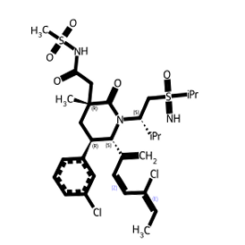 C=C(/C=C\C(Cl)=C/C)[C@@H]1[C@@H](c2cccc(Cl)c2)C[C@](C)(CC(=O)NS(C)(=O)=O)C(=O)N1[C@H](CS(=N)(=O)C(C)C)C(C)C